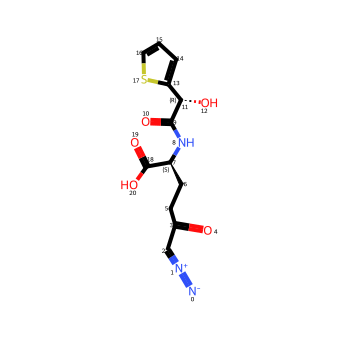 [N-]=[N+]=CC(=O)CC[C@H](NC(=O)[C@@H](O)c1cccs1)C(=O)O